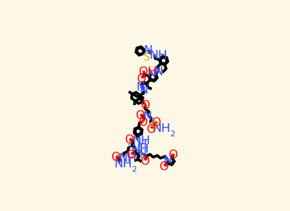 Cc1c(-c2ccc(N3CCc4cccc(CNc5nc6ccccc6s5)c4C3)nc2C(=O)O)cnn1CC12CC3(C)CC(C)(C1)CC(OCCN(CCS(N)(=O)=O)C(=O)OCc1ccc(NC(=O)[C@H](CCCNC(N)=O)NC(=O)[C@@H](NC(=O)CCCCCN4C(=O)C=CC4=O)C(C)C)cc1)(C3)C2